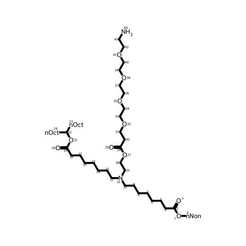 CCCCCCCCCOC(=O)CCCCCCCN(CCCCCCCC(=O)OC(CCCCCCCC)CCCCCCCC)CCOC(=O)CCOCCOCCOCCOCCN